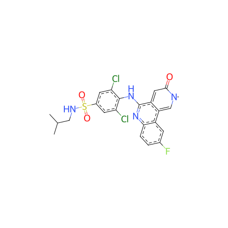 CC(C)CNS(=O)(=O)c1cc(Cl)c(Nc2nc3ccc(F)cc3c3c2=CC(=O)[N]C=3)c(Cl)c1